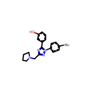 CCCCc1ccc(-n2nc(CN3CCCC3)nc2-c2cccc(O)c2)cc1